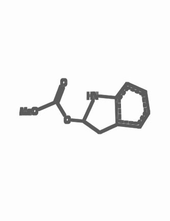 COC(=O)OC1Cc2ccccc2N1